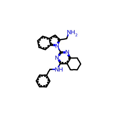 NCc1cc2ccccc2n1-c1nc2c(c(NCc3ccccc3)n1)CCCC2